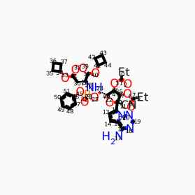 CCC(=O)O[C@H]1[C@@H](OC(=O)CC)[C@](C#N)(c2ccc3c(N)ncnn23)O[C@@H]1CO[P@@](=O)(N[C@@H](CC(=O)OC1CCC1)C(=O)OC1CCC1)Oc1ccccc1